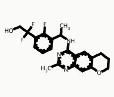 Cc1nc(NC(C)c2cccc(C(F)(F)CO)c2F)c2cc3c(cc2n1)OCCC3